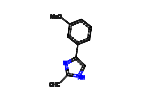 COc1cccc(-c2c[nH]c(C=O)n2)c1